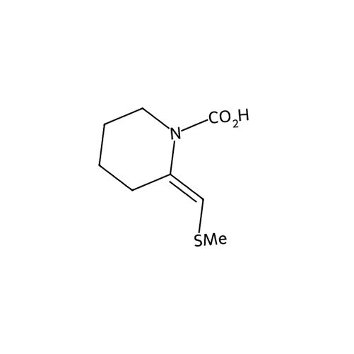 CSC=C1CCCCN1C(=O)O